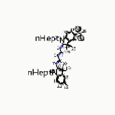 CCCCCCCN1/C(=C/C=C/C=C/C2=[N+](CCCCCCC)c3ccc(C)cc3C2(C)C)C(C)(C)c2cc(S(C)(=O)=O)ccc21